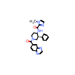 Cn1ccnc1C(=O)N[C@@H]1CCN(C(=O)c2ccc3nccnc3c2)C[C@@H]1c1ccccc1